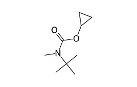 CN(C(=O)OC1CC1)C(C)(C)C